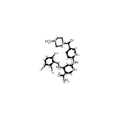 CN1CCN(C(=O)c2ccc(Nc3cc(NCc4c(F)ccc(F)c4F)c(C(N)=O)cn3)nc2)CC1